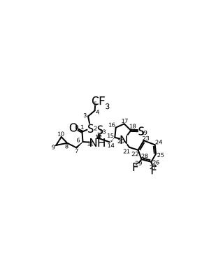 O=C(SCCC(F)(F)F)[C@H](CC1CC1)NC(=S)C[C@@H]1CCC(=S)N1Cc1cccc(F)c1F